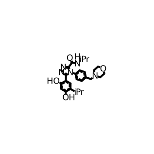 CC(C)NC(=O)c1nnc(-c2cc(C(C)C)c(O)cc2O)n1-c1ccc(CN2CCOCC2)cc1